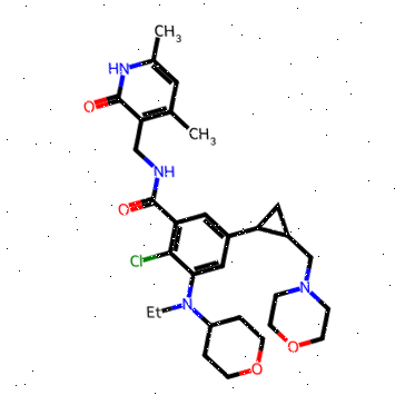 CCN(c1cc(C2CC2CN2CCOCC2)cc(C(=O)NCc2c(C)cc(C)[nH]c2=O)c1Cl)C1CCOCC1